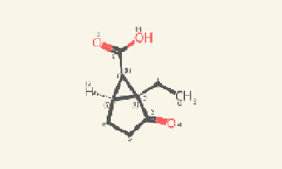 CC[C@@]12C(=O)CC[C@H]1[C@H]2C(=O)O